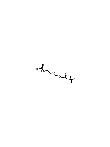 CC(C)(C)OC(=O)NCCOCCNC(=O)O